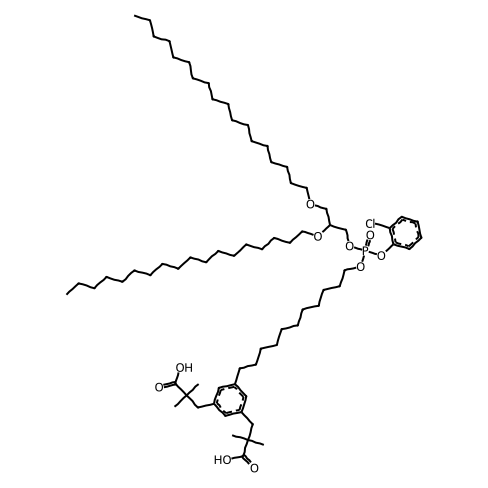 CCCCCCCCCCCCCCCCCCOCC(COP(=O)(OCCCCCCCCCCCc1cc(CC(C)(C)C(=O)O)cc(CC(C)(C)C(=O)O)c1)Oc1ccccc1Cl)OCCCCCCCCCCCCCCCCCC